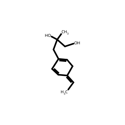 CC=C1C=CC(CC(C)(O)CO)=CC1